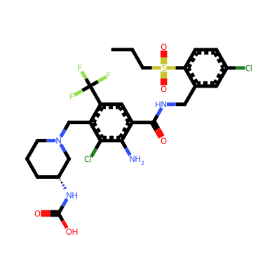 CCCS(=O)(=O)c1ccc(Cl)cc1CNC(=O)c1cc(C(F)(F)F)c(CN2CCC[C@@H](NC(=O)O)C2)c(Cl)c1N